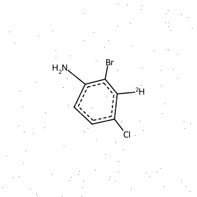 [2H]c1c(Cl)ccc(N)c1Br